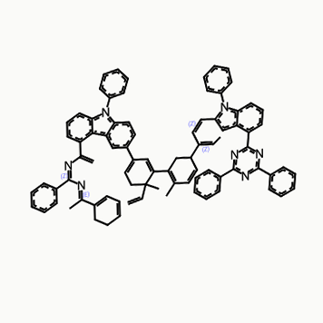 C=CC1(C)CC=C(c2ccc3c(c2)c2c(C(=C)/N=C(\N=C(/C)C4=CC=CCC4)c4ccccc4)cccc2n3-c2ccccc2)C=C1C1=C(C)C=CC(C(/C=C\c2cc3c(-c4nc(-c5ccccc5)nc(-c5ccccc5)n4)cccc3n2-c2ccccc2)=C/C)C1